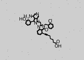 Nc1cncc2c1c(-c1cccc(O)c1)nn2Cc1nc2cccc(C#CCCCCC(=O)O)c2c(=O)n1Cc1ccccc1Cl